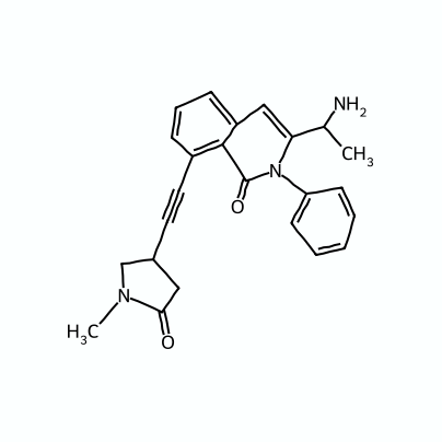 CC(N)c1cc2cccc(C#CC3CC(=O)N(C)C3)c2c(=O)n1-c1ccccc1